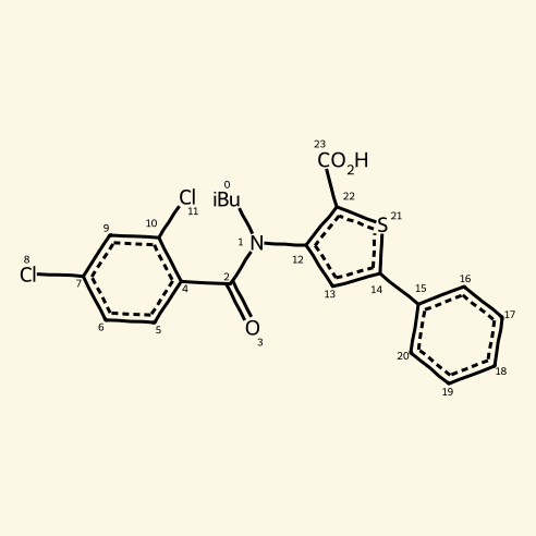 CCC(C)N(C(=O)c1ccc(Cl)cc1Cl)c1cc(-c2ccccc2)sc1C(=O)O